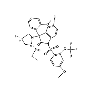 COC(=O)[C@@H]1C[C@H](F)CN1C1(c2ccccc2OC)C(=O)N(S(=O)(=O)c2ccc(OC)cc2OC(F)(F)F)c2ccc(Cl)cc21